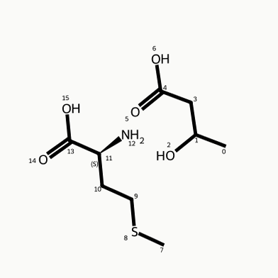 CC(O)CC(=O)O.CSCC[C@H](N)C(=O)O